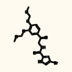 COCOc1ccc(C(=O)CNC(=O)c2cc(Br)c[nH]2)cc1OCOC